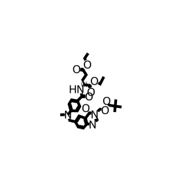 CCOC(=O)CC[C@H](NC(=O)c1ccc(N(C)Cc2ccc3ncn(COC(=O)C(C)(C)C)c(=O)c3c2)cc1)C(=O)OCC